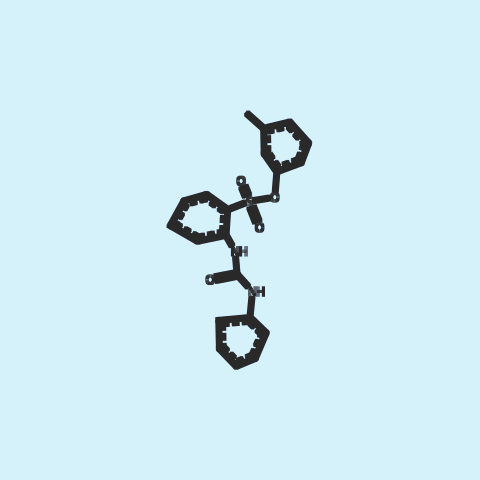 Cc1cccc(OS(=O)(=O)c2ccccc2NC(=O)Nc2ccccc2)c1